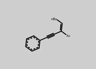 CCCC/C=C(\C#Cc1ccccc1)C(C)=O